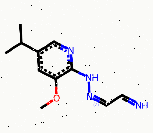 COc1cc(C(C)C)cnc1N/N=C\C=N